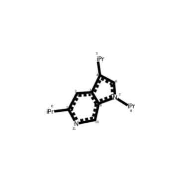 CC(C)c1cc2c(C(C)C)cn(C(C)C)c2cn1